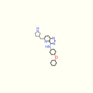 c1ccc(Oc2ccc(Nc3ncnc4ccc(CC5CCNC5)nc34)cc2)cc1